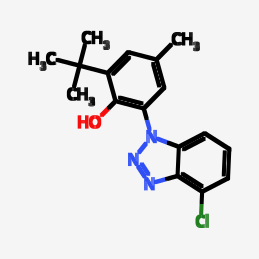 Cc1cc(-n2nnc3c(Cl)cccc32)c(O)c(C(C)(C)C)c1